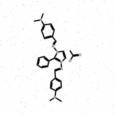 CC(=O)[O-].CN(C)c1ccc(C=Nn2cc[n+](N=Cc3ccc(N(C)C)cc3)c2-c2ccccc2)cc1